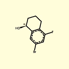 O[C@H]1CCCc2c(F)cc(Br)cc21